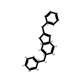 C1=C(Cc2ccccc2)Cc2cc(Cc3ccccc3)ccc21